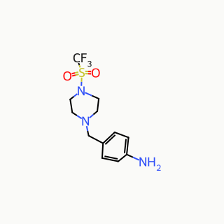 Nc1ccc(CN2CCN(S(=O)(=O)C(F)(F)F)CC2)cc1